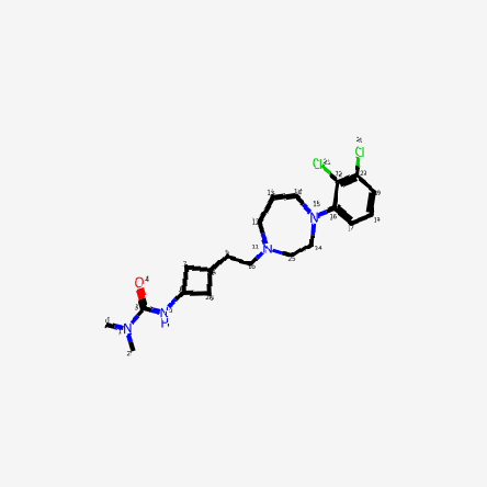 CN(C)C(=O)NC1CC(CCN2CCCN(c3cccc(Cl)c3Cl)CC2)C1